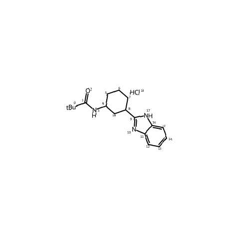 CC(C)(C)C(=O)NC1CCCC(c2nc3ccccc3[nH]2)C1.Cl